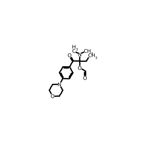 CCC(OC=O)(C(=O)c1ccc(N2CCOCC2)cc1)N(C)C